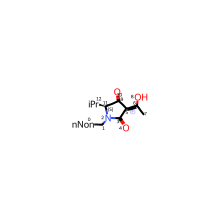 CCCCCCCCCCN1C(=O)/C(=C(\C)O)C(=O)[C@@H]1C(C)C